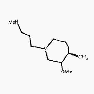 CNCCCN1CC[C@@H](C)C(OC)C1